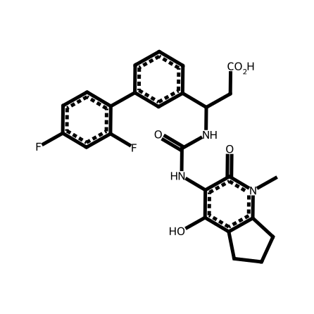 Cn1c2c(c(O)c(NC(=O)NC(CC(=O)O)c3cccc(-c4ccc(F)cc4F)c3)c1=O)CCC2